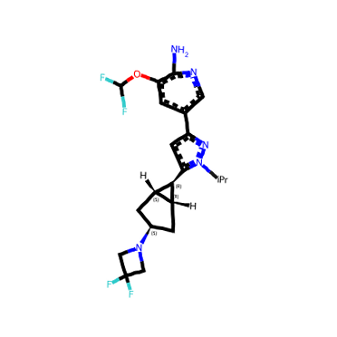 CC(C)n1nc(-c2cnc(N)c(OC(F)F)c2)cc1[C@H]1[C@@H]2C[C@@H](N3CC(F)(F)C3)C[C@@H]21